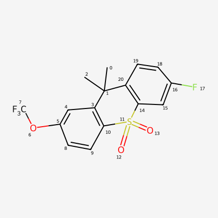 CC1(C)c2cc(OC(F)(F)F)ccc2S(=O)(=O)c2cc(F)ccc21